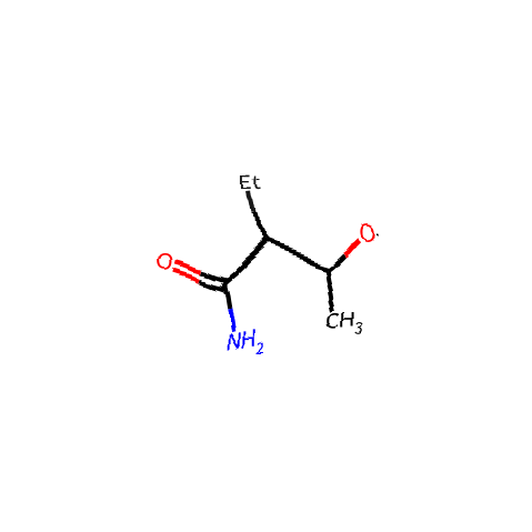 CCC(C(N)=O)C(C)[O]